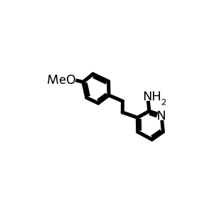 COc1ccc(CCc2cccnc2N)cc1